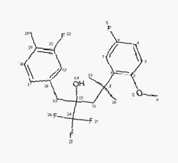 COc1ccc(F)cc1C(C)(C)CC(O)(Cc1ccc(C)c(F)c1)C(F)(F)F